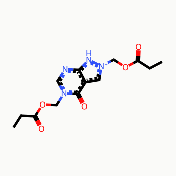 CCC(=O)OCn1cnc2[nH][n+](COC(=O)CC)cc2c1=O